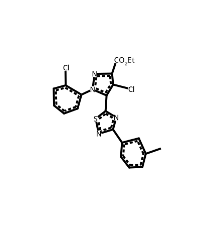 CCOC(=O)c1nn(-c2ccccc2Cl)c(-c2nc(-c3cccc(C)c3)ns2)c1Cl